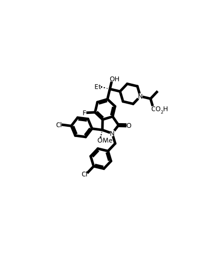 CC[C@@](O)(c1cc(F)c2c(c1)C(=O)N(Cc1ccc(Cl)cc1)[C@@]2(OC)c1ccc(Cl)cc1)C1CCN(C(C)C(=O)O)CC1